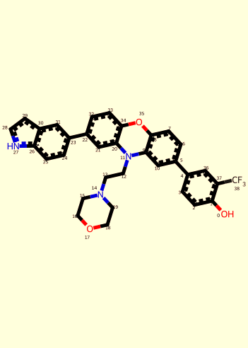 Oc1ccc(-c2ccc3c(c2)N(CCN2CCOCC2)c2cc(-c4ccc5[nH]ccc5c4)ccc2O3)cc1C(F)(F)F